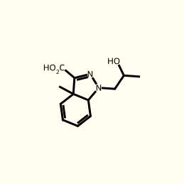 CC(O)CN1N=C(C(=O)O)C2(C)C=CC=CC12